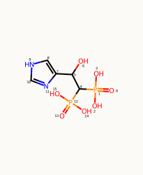 O=P(O)(O)C(C(O)c1c[nH]cn1)P(=O)(O)O